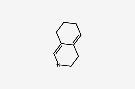 C1=C2CCCC=C2CC[N]1